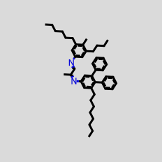 CCCCCCCCc1cc(N=C(C)C=Nc2cc(CCCC)c(C)c(CCCCCC)c2)cc(-c2ccccc2)c1-c1ccccc1